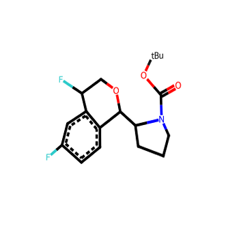 CC(C)(C)OC(=O)N1CCCC1C1OCC(F)c2cc(F)ccc21